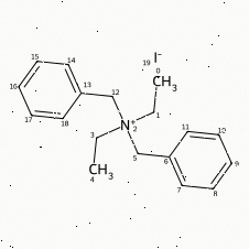 CC[N+](CC)(Cc1ccccc1)Cc1ccccc1.[I-]